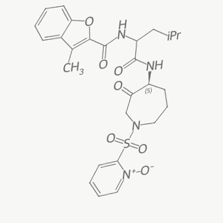 Cc1c(C(=O)NC(CC(C)C)C(=O)N[C@H]2CCCN(S(=O)(=O)c3cccc[n+]3[O-])CC2=O)oc2ccccc12